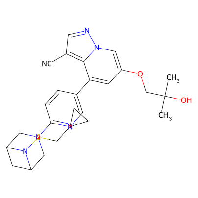 CC(C)(O)COc1cc(-c2ccc(N3CC4CC(C3)N4SCC3CC3)nc2)c2c(C#N)cnn2c1